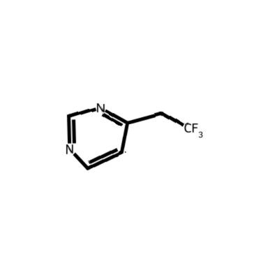 FC(F)(F)Cc1[c]cncn1